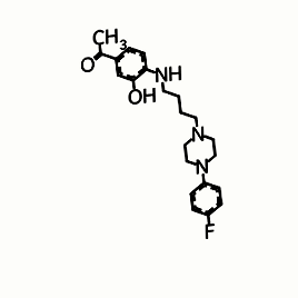 CC(=O)c1ccc(NCCCCN2CCN(c3ccc(F)cc3)CC2)c(O)c1